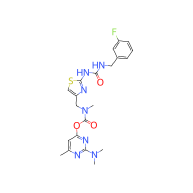 Cc1cc(OC(=O)N(C)Cc2csc(NC(=O)NCc3cccc(F)c3)n2)nc(N(C)C)n1